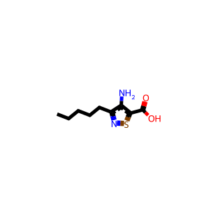 CCCCCc1nsc(C(=O)O)c1N